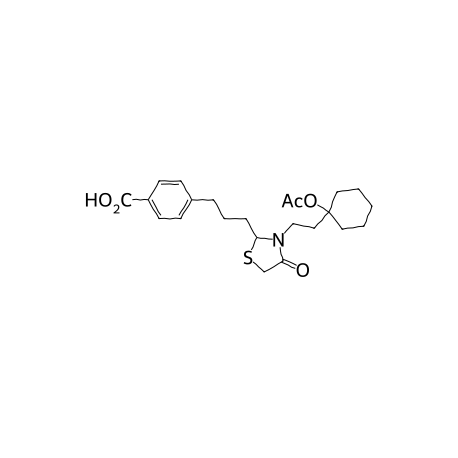 CC(=O)OC1(CCN2C(=O)CSC2CCCc2ccc(C(=O)O)cc2)CCCCC1